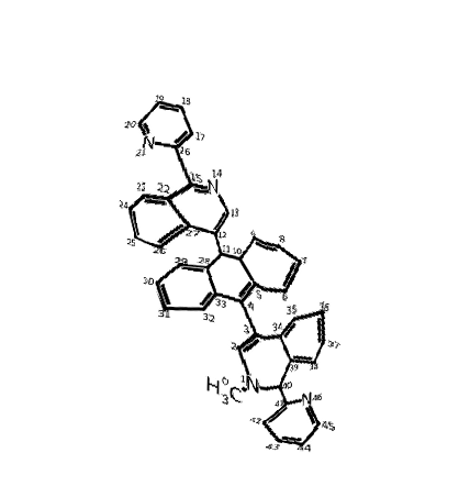 CN1C=C(C2=C3C=CC=CC3C(c3cnc(-c4ccccn4)c4ccccc34)c3ccccc32)c2ccccc2C1c1ccccn1